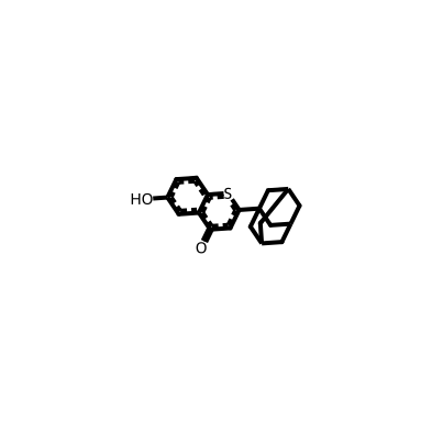 O=c1cc(C23CC4CC(CC(C4)C2)C3)sc2ccc(O)cc12